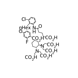 CCCCCCOc1ccc(C(=O)O)c(F)c1.Cc1c(Cl)cccc1NC(=O)CCCC(=O)O.O=C(O)CN(CC(=O)O)[C@@H]1CCCC[C@H]1N(CC(=O)O)CC(=O)O